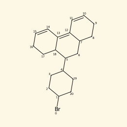 BrC1CCC(C2CC3CCC=CC3=C3C=CCCC32)CC1